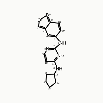 b1occ2cc(Nc3nccc(NC4CCCC4)n3)ccc12